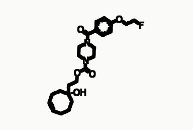 O=C(OCC[C@]1(O)CC/C=C\CCC1)N1CCN(C(=O)c2ccc(OCCF)cc2)CC1